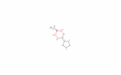 C=C1OCC(C2CCCC2)CO1